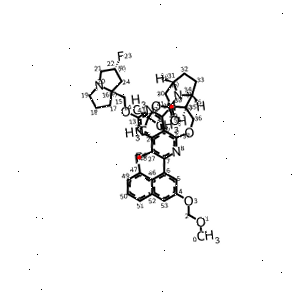 COCOc1cc(-c2nc3c4c(nc(OC[C@@]56CCCN5C[C@H](F)C6)nc4c2F)N2C[C@@H]4CC[C@H]([C@H]2CO3)N4C(=O)OC(C)(C)C)c2c(F)cccc2c1